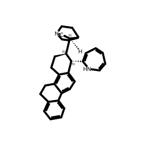 C1=CC=C([C@@H]2c3ccc4c(c3CC[C@H]2[C@H]2CN3CCC2CC3)CCc2ccccc2-4)NC=C1